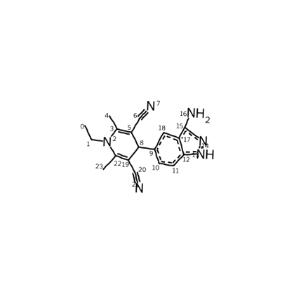 CCN1C(C)=C(C#N)C(c2ccc3[nH]nc(N)c3c2)C(C#N)=C1C